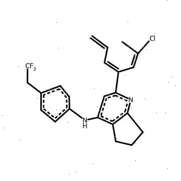 C=C/C=C(\C=C(/C)Cl)c1cc(Nc2ccc(CC(F)(F)F)cc2)c2c(n1)CCC2